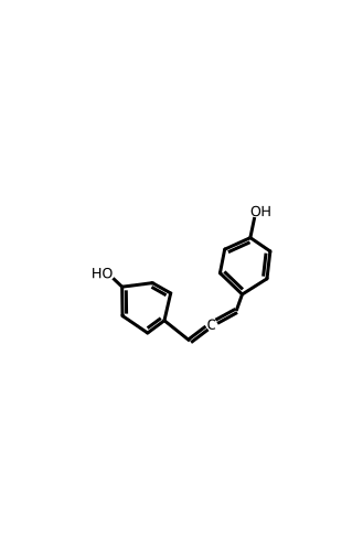 Oc1ccc(C=C=Cc2ccc(O)cc2)cc1